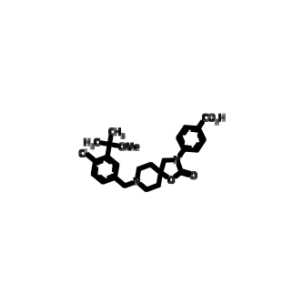 COC(C)(C)c1cc(CN2CCC3(CC2)CN(c2ccc(C(=O)O)cc2)C(=O)O3)ccc1Cl